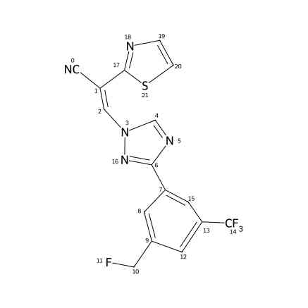 N#CC(=Cn1cnc(-c2cc(CF)cc(C(F)(F)F)c2)n1)c1nccs1